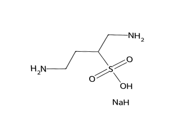 NCCC(CN)S(=O)(=O)O.[NaH]